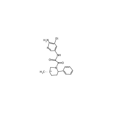 CCc1cc(NC(=O)C(=O)N2C[C@@H](C)CCC2c2ccccc2)cnc1N